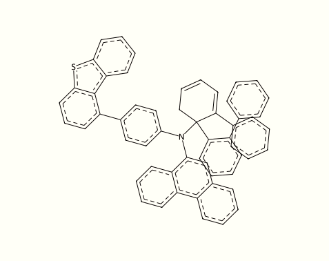 C1=CCC(c2ccccc2-c2ccccc2)(N(c2ccc(-c3cccc4sc5ccccc5c34)cc2)c2cc3ccccc3c3ccccc23)C(c2ccccc2)=C1